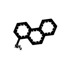 Nc1cccc2c1ccc1ccccc12